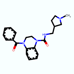 CN1CCC(CNC(=O)N2CCN(C(=O)c3ccccc3)c3ccccc32)C1